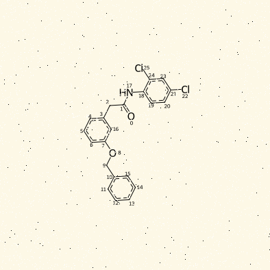 O=C(Cc1cccc(OCc2ccccc2)c1)Nc1ccc(Cl)cc1Cl